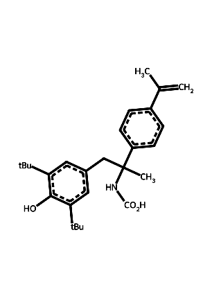 C=C(C)c1ccc(C(C)(Cc2cc(C(C)(C)C)c(O)c(C(C)(C)C)c2)NC(=O)O)cc1